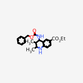 CCOC(=O)c1ccc2c(c1)C(NC(=O)OCc1ccccc1)C(C)C(C)N2